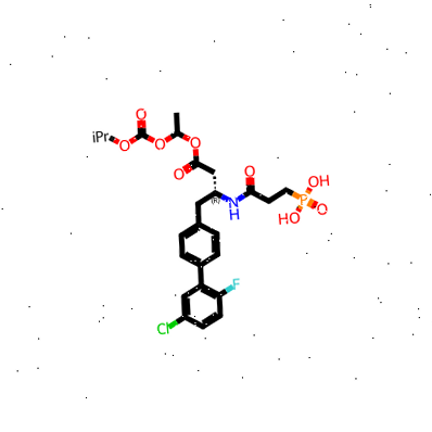 CC(C)OC(=O)OC(C)OC(=O)C[C@@H](Cc1ccc(-c2cc(Cl)ccc2F)cc1)NC(=O)CCP(=O)(O)O